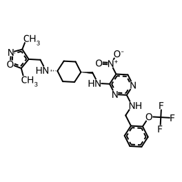 Cc1noc(C)c1CN[C@H]1CC[C@H](CNc2nc(NCc3ccccc3OC(F)(F)F)ncc2[N+](=O)[O-])CC1